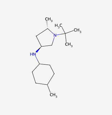 CC1CCC(N[C@H]2C[C@H](C)N(C(C)(C)C)C2)CC1